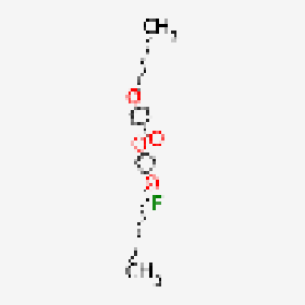 CCCCCCCCOc1ccc(C(=O)Oc2ccc(OCC(F)CCCCCCCC)cc2)cc1